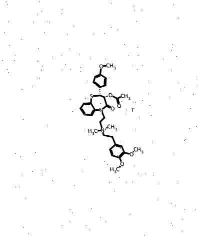 COc1ccc([C@H]2Sc3ccccc3N(CC[N+](C)(C)CCc3ccc(OC)c(OC)c3)C(=O)[C@H]2OC(C)=O)cc1.[I-]